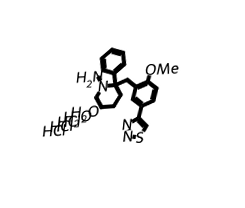 COc1ccc(-c2csnn2)cc1CC1(c2ccccc2)CCCCN1N.Cl.Cl.Cl.O.O